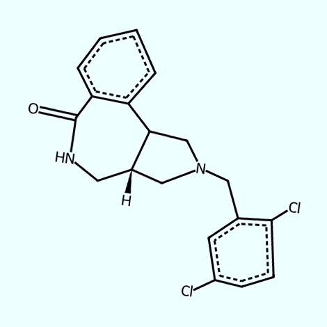 O=C1NC[C@H]2CN(Cc3cc(Cl)ccc3Cl)CC2c2ccccc21